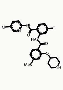 CSc1ccc(C(=O)[AsH]c2cc(F)ccc2C(=O)Nc2ccc(Cl)cn2)c(OC2CCNCC2)c1